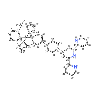 CC1(C)c2ccccc2C2(c3ccccc3-c3cc(-c4ccc(-c5cc(-c6ccccn6)nc(-c6ccccn6)c5)cc4)ccc32)c2ccccc21